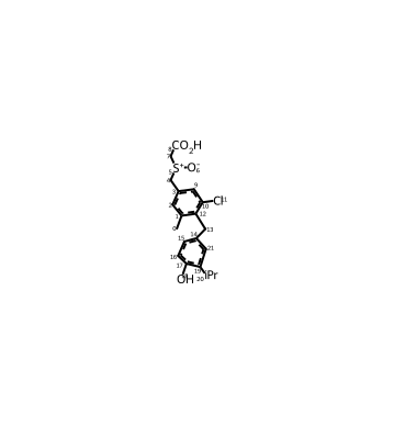 Cc1cc(C[S+]([O-])CC(=O)O)cc(Cl)c1Cc1ccc(O)c(C(C)C)c1